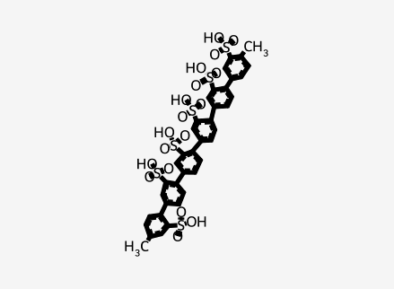 Cc1ccc(-c2ccc(-c3ccc(-c4ccc(-c5ccc(-c6ccc(C)c(S(=O)(=O)O)c6)c(S(=O)(=O)O)c5)c(S(=O)(=O)O)c4)c(S(=O)(=O)O)c3)c(S(=O)(=O)O)c2)c(S(=O)(=O)O)c1